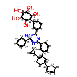 Cc1c(C2=NC(c3cccc(-c4c(O)c(O)c(O)c(O)c4O)c3)NC(c3ccccc3)=N2)cccc1C1=C(C2CC2)CCC(C2=CC=CCC2)=C1